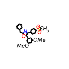 COc1cc(OC)cc(-c2oc(Cc3ccccc3)nc2-c2ccc(S(C)(=O)=O)cc2)c1